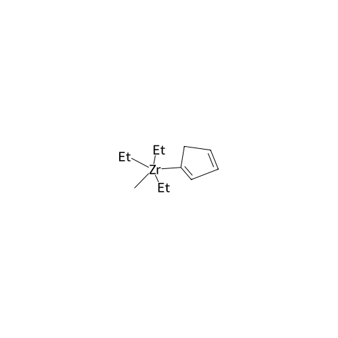 C[CH2][Zr]([CH3])([CH2]C)([CH2]C)[C]1=CC=CC1